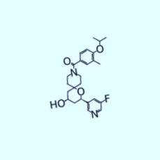 Cc1cc(C(=O)N2CCC3(CC2)C[C@H](O)C[C@H](c2cncc(F)c2)O3)ccc1OC(C)C